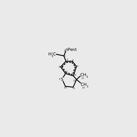 CCCCCC(C)c1ccc2c(c1)SCCC2(C)C